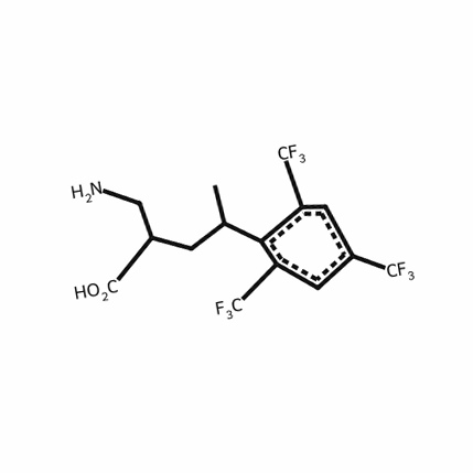 CC(CC(CN)C(=O)O)c1c(C(F)(F)F)cc(C(F)(F)F)cc1C(F)(F)F